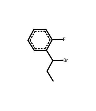 CCC(Br)c1ccccc1F